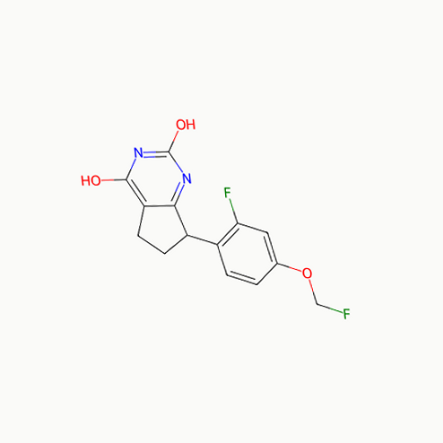 Oc1nc(O)c2c(n1)C(c1ccc(OCF)cc1F)CC2